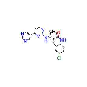 C[C@H](Nc1nccc(-c2cncnc2)n1)c1cc2cc(Cl)ccc2[nH]c1=O